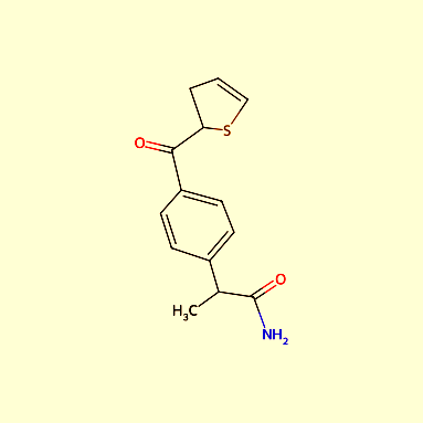 CC(C(N)=O)c1ccc(C(=O)C2CC=CS2)cc1